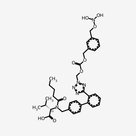 CCCCC(=O)N(Cc1ccc(-c2ccccc2-c2nnn(COC(=O)OCc3cccc(CON(O)O)c3)n2)cc1)[C@H](C(=O)O)C(C)C